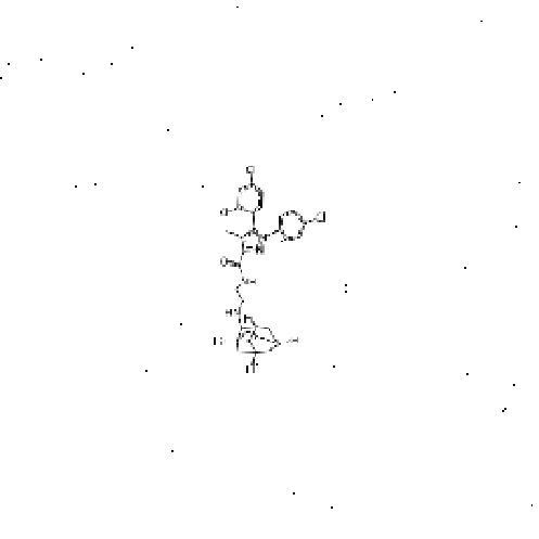 Cc1c(C(=O)NCCNC2[C@H]3C[C@@H]4C[C@@H](C[C@H]2C4)C3)nn(-c2ccc(Cl)cc2)c1-c1ccc(Cl)cc1Cl